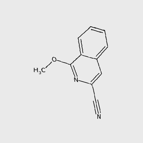 COc1nc(C#N)cc2ccccc12